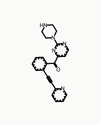 O=C(c1ccnc(N2CCNCC2)n1)c1ccccc1C#Cc1ccccn1